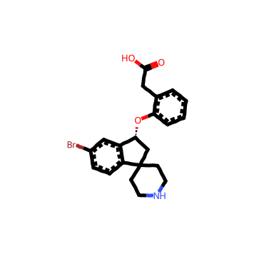 O=C(O)Cc1ccccc1O[C@@H]1CC2(CCNCC2)c2ccc(Br)cc21